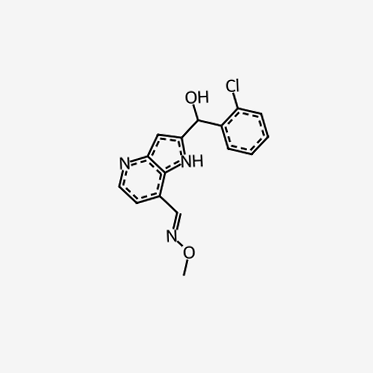 CON=Cc1ccnc2cc(C(O)c3ccccc3Cl)[nH]c12